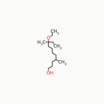 CCOC(C)(CC)CCCCC(C)CCCO